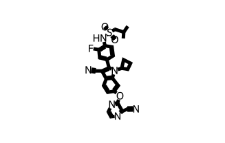 CC(C)CS(=O)(=O)Nc1ccc(-c2c(C#N)c3ccc(Oc4nccnc4C#N)cc3n2C2CCC2)cc1F